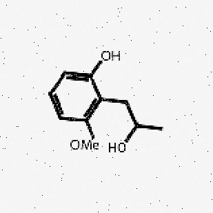 COc1cccc(O)c1CC(C)O